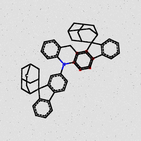 c1ccc(Cc2ccccc2N(c2ccc3c(c2)C2(c4ccccc4-3)C3CCC4CC(C3)CC2C4)c2ccc3c(c2)C2(c4ccccc4-3)C3CC4CC(C3)CC2C4)cc1